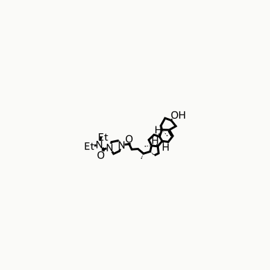 CCN(CC)C(=O)N1CCN(C(=O)CC[C@@H](C)[C@H]2CC[C@H]3[C@@H]4CC=C5C[C@@H](O)CC[C@]5(C)[C@H]4CC[C@]23C)CC1